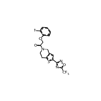 O=C(COc1ccccc1F)N1CCc2sc(-c3noc(C(F)(F)F)n3)cc2C1